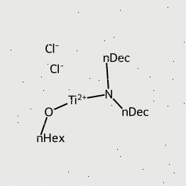 CCCCCCCCCC[N](CCCCCCCCCC)[Ti+2][O]CCCCCC.[Cl-].[Cl-]